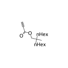 C#CC(=O)OCC(C)(CCCCCC)CCCCCC